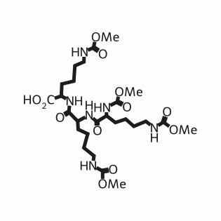 COC(=O)NCCCCC(NC(=O)C(CCCCNC(=O)OC)NC(=O)C(CCCCNC(=O)OC)NC(=O)OC)C(=O)O